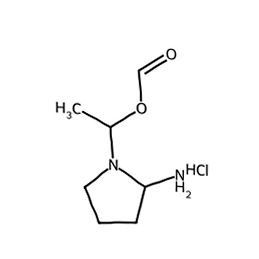 CC(OC=O)N1CCCC1N.Cl